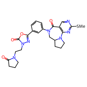 CSc1ncc2c(n1)N1CCCC1CN(c1cccc(-c3nn(CCN4CCCC4=O)c(=O)o3)c1)C2=O